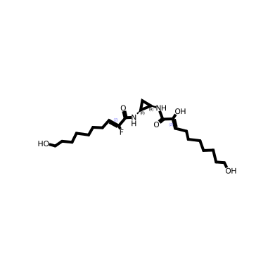 O=C(N[C@@H]1C[C@H]1NC(=O)/C(F)=C/CCCCCCCO)/C(O)=C/CCCCCCCO